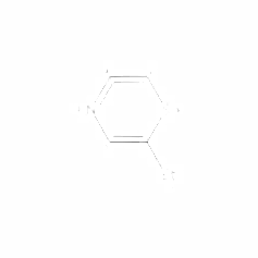 CCC1=CN=C=CS1